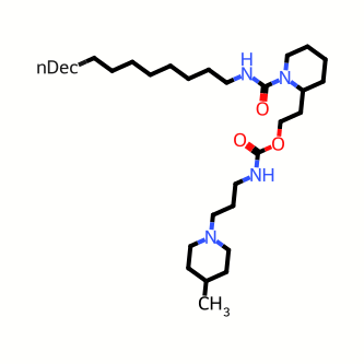 CCCCCCCCCCCCCCCCCCNC(=O)N1CCCCC1CCOC(=O)NCCCN1CCC(C)CC1